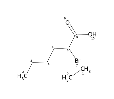 CC.CCCCC(Br)C(=O)O